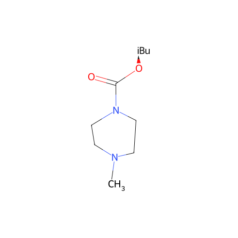 CC[C@H](C)OC(=O)N1CCN(C)CC1